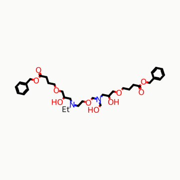 CCN(CCOCN(CO)CC(O)COCCCC(=O)OCc1ccccc1)CC(O)COCCCC(=O)OCc1ccccc1